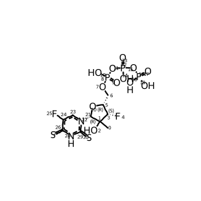 CC1(O)[C@@H](F)[C@@H](COP(=O)(O)OP(=O)(O)OP(=O)(O)O)O[C@H]1n1cc(F)c(=S)[nH]c1=S